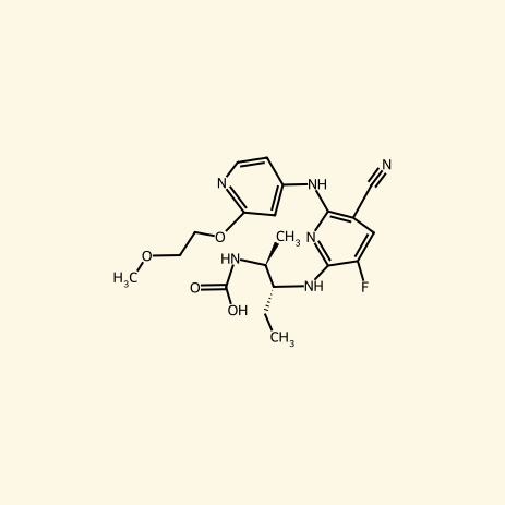 CC[C@@H](Nc1nc(Nc2ccnc(OCCOC)c2)c(C#N)cc1F)[C@H](C)NC(=O)O